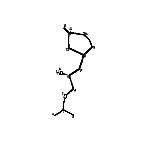 CC(C)OC[C@H](O)CC1CCN(C)C1